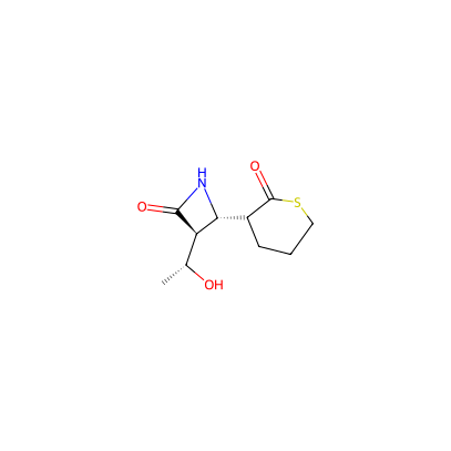 C[C@@H](O)[C@H]1C(=O)N[C@@H]1C1CCCSC1=O